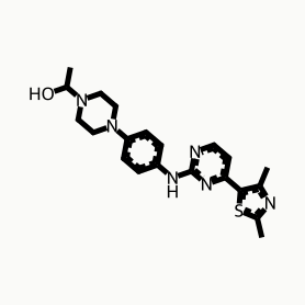 Cc1nc(C)c(-c2ccnc(Nc3ccc(N4CCN(C(C)O)CC4)cc3)n2)s1